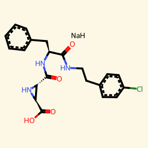 O=C(NCCc1ccc(Cl)cc1)[C@H](Cc1ccccc1)NC(=O)[C@H]1N[C@@H]1C(=O)O.[NaH]